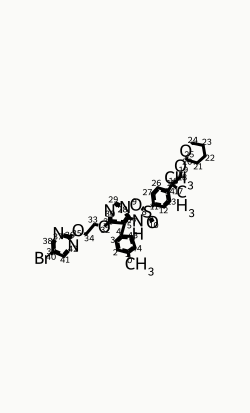 Cc1ccc(-c2c(NS(=O)(=O)c3ccc(C(C)(C)COC4CCCCO4)cc3)ncnc2OCCOc2ncc(Br)cn2)cc1